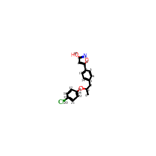 CC(Cc1ccc(-c2cc(O)no2)cc1)Oc1ccc(Cl)cc1